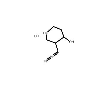 Cl.[N-]=[N+]=NC1CNCCC1O